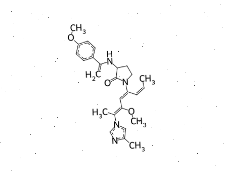 C=C(NC1CCN(C(/C=C\C)=C/C(OC)=C(\C)n2cnc(C)c2)C1=O)c1ccc(OC)cc1